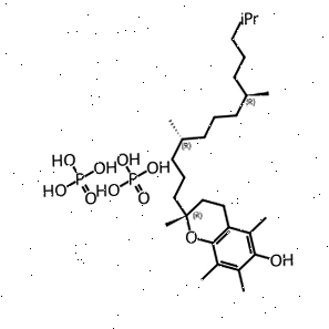 Cc1c(C)c2c(c(C)c1O)CC[C@@](C)(CCC[C@H](C)CCC[C@H](C)CCCC(C)C)O2.O=P(O)(O)O.O=P(O)(O)O